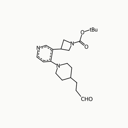 CC(C)(C)OC(=O)N1CC(c2cnccc2N2CCC(CCC=O)CC2)C1